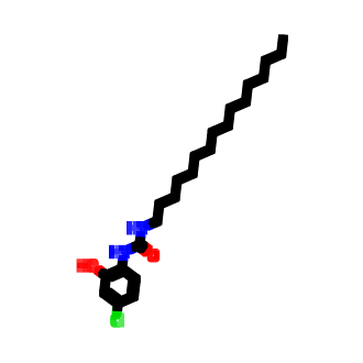 CCCCCCCCCCCCCCCCNC(=O)Nc1ccc(Cl)cc1O